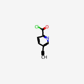 C#Cc1ccc(C(=O)Cl)nc1